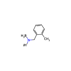 BN(Cc1ccccc1C)C(C)C